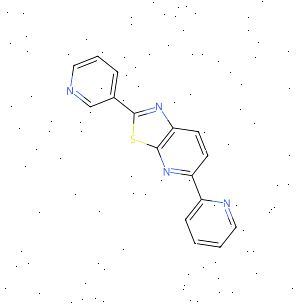 c1ccc(-c2ccc3nc(-c4cccnc4)sc3n2)nc1